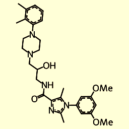 COc1cc(OC)cc(-n2c(C)nc(C(=O)NCC(O)CN3CCN(c4cccc(C)c4C)CC3)c2C)c1